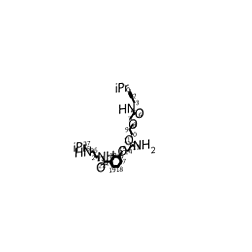 CC(C)C#CCNC(=O)COCCOC(N)COc1cccc(C(=O)NCCNC(C)C)c1